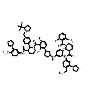 CCc1ccc(NC(=O)C2CCCN(C(=O)c3c(C)cccc3F)[C@H]2c2ccc(NC3CCC(c4ccc(F)c(C(=O)N5CCCC(C(=O)Nc6ccc(C)c(N7CCCC7)c6)C5c5ccc(CN6CCCC6C(F)(F)F)cc5)c4C)C3)cc2)cc1N1CCCC1